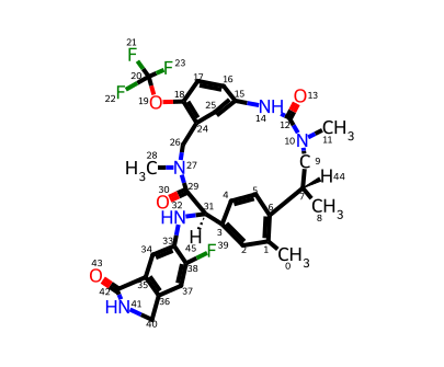 Cc1cc2ccc1[C@@H](C)CN(C)C(=O)Nc1ccc(OC(F)(F)F)c(c1)CN(C)C(=O)[C@@H]2Nc1cc2c(cc1F)CNC2=O